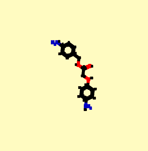 Nc1ccc(COC(=O)COc2ccc(N)cc2)cc1